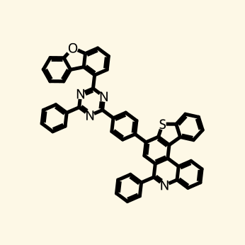 c1ccc(-c2nc(-c3ccc(-c4cc5c(-c6ccccc6)nc6ccccc6c5c5c4sc4ccccc45)cc3)nc(-c3cccc4oc5ccccc5c34)n2)cc1